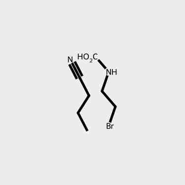 CCCC#N.O=C(O)NCCBr